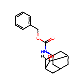 O=C(N[C@]12CC3CC(C1)[C@H](O)C(C3)C2)OCc1ccccc1